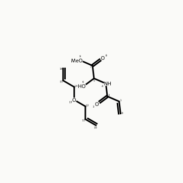 C=CC(=O)NC(O)C(=O)OC.C=CCOCC=C